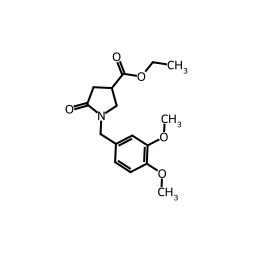 CCOC(=O)C1CC(=O)N(Cc2ccc(OC)c(OC)c2)C1